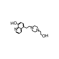 OCCN1CCN(CCc2ccc(O)c3ncccc23)CC1